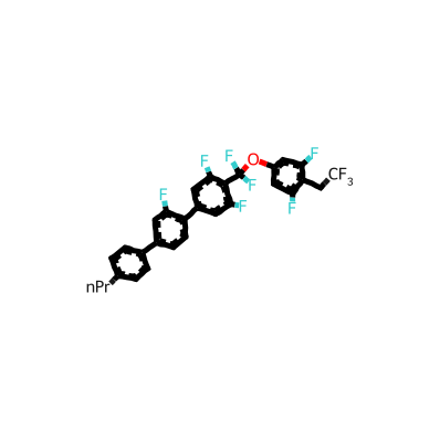 CCCc1ccc(-c2ccc(-c3cc(F)c(C(F)(F)Oc4cc(F)c(CC(F)(F)F)c(F)c4)c(F)c3)c(F)c2)cc1